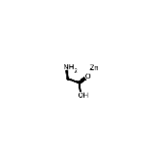 NCC(=O)O.[Zn]